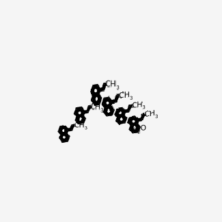 CCCc1cccc2ccccc12.CCCc1cccc2ccccc12.CCCc1cccc2ccccc12.CCCc1cccc2ccccc12.CCCc1cccc2ccccc12.CCCc1cccc2ccccc12.O